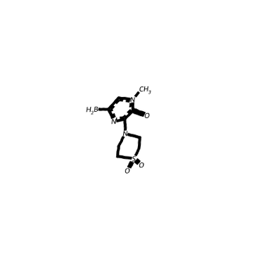 Bc1cn(C)c(=O)c(N2CCS(=O)(=O)CC2)n1